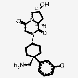 NC[C@]1(c2cccc(Cl)c2)CC[C@@H](N2CC(=O)N3C[C@H](O)C[C@H]3C2=O)CC1